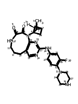 C[C@@H]1C2CC1(N1C(=O)C(=O)NCCCc3cnc(Nc4ccc(N5CCNCC5)c(F)c4)nc31)C2